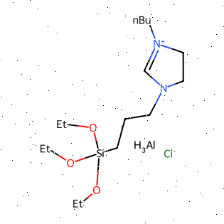 CCCC[N+]1=CN(CCC[Si](OCC)(OCC)OCC)CC1.[AlH3].[Cl-]